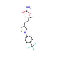 CC(C)(CCC1CCN(c2ccc(C(F)(F)F)cc2)C1)OC(N)=O